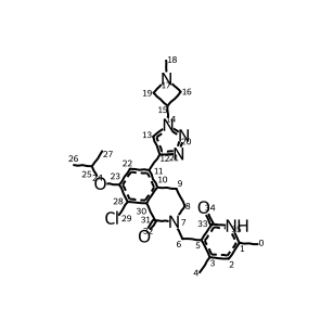 Cc1cc(C)c(CN2CCc3c(-c4cn(C5CN(C)C5)nn4)cc(OC(C)C)c(Cl)c3C2=O)c(=O)[nH]1